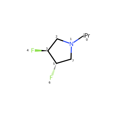 CC(C)N1C[C@H](F)[C@@H](F)C1